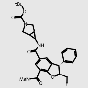 CNC(=O)c1cc(C(=O)NC2C3CN(C(=O)OC(C)(C)C)CC32)cc2c1O[C@H](CF)[C@H]2c1ccccc1